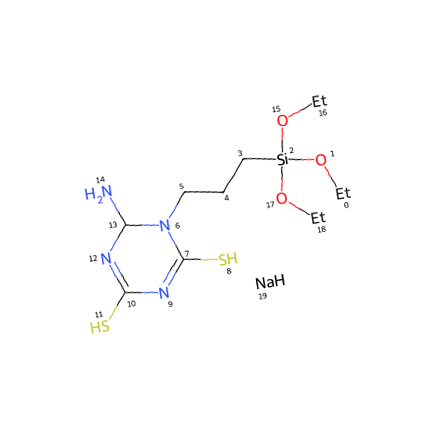 CCO[Si](CCCN1C(S)=NC(S)=NC1N)(OCC)OCC.[NaH]